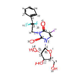 O=c1c(I)cn([C@@H]2O[C@H](CO)C(O)[C@@H]2O)c(=O)n1CC(F)(F)c1ccccc1